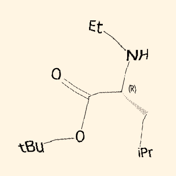 CCN[C@H](CC(C)C)C(=O)OC(C)(C)C